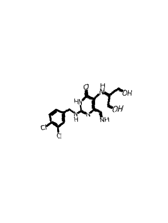 N=Cc1nc(NCc2ccc(Cl)c(Cl)c2)[nH]c(=O)c1NC(CO)CO